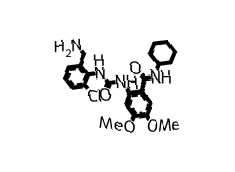 COc1cc(NC(=O)Nc2c(Cl)cccc2CN)c(C(=O)N[C]2CCCCC2)cc1OC